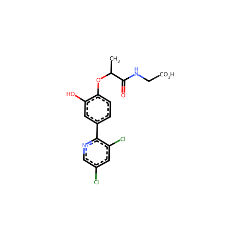 CC(Oc1ccc(-c2ncc(Cl)cc2Cl)cc1O)C(=O)NCC(=O)O